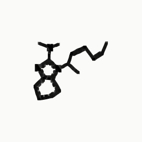 C/C=C\C=C/C(C)n1c(N(C)C)nc2ccccc21